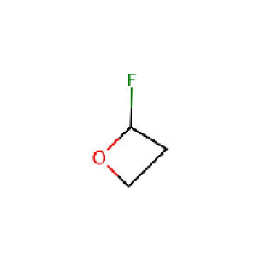 FC1CCO1